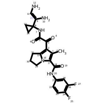 Cc1c(C(=O)C(=O)NC2(/C(N)=C/N)CC2)c2n(c1C(=O)Nc1ccc(F)c(F)c1)CCC2